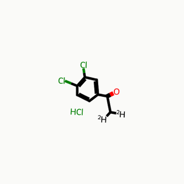 Cl.[2H]C([2H])C(=O)c1ccc(Cl)c(Cl)c1